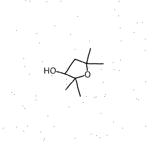 CC1(C)CC(O)C(C)(C)O1